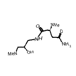 CNCC(O)CNC(=O)[C@H](CC(N)=O)NC